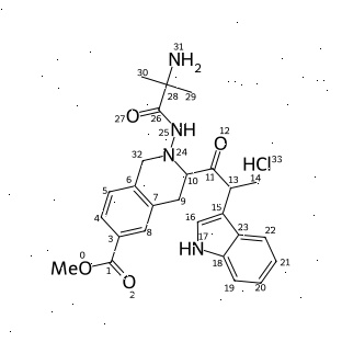 COC(=O)c1ccc2c(c1)CC(C(=O)C(C)c1c[nH]c3ccccc13)N(NC(=O)C(C)(C)N)C2.Cl